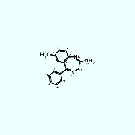 Cc1ccc2c(c1)C(c1ccccc1)=NCC(N)=N2